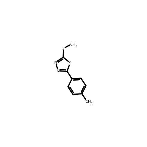 CSc1nnc(-c2ccc(C)cc2)s1